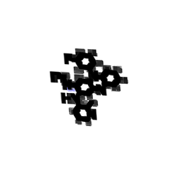 Cc1ncccc1Nc1cc2nc3ccccc3n(-c3cccc(F)c3)c-2c/c1=N\C(C)C